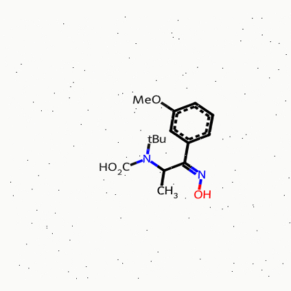 COc1cccc(C(=NO)C(C)N(C(=O)O)C(C)(C)C)c1